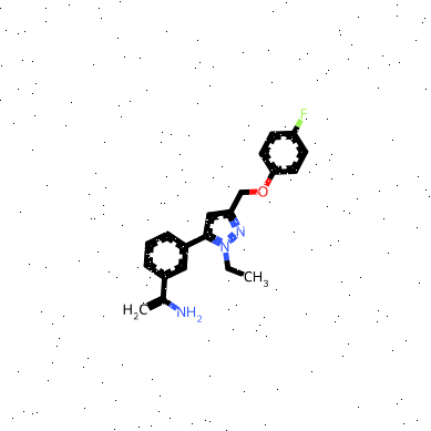 C=C(N)c1cccc(-c2cc(COc3ccc(F)cc3)nn2CC)c1